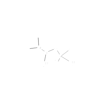 C[SiH](C)[SiH](C)O[Si](C)(C)C